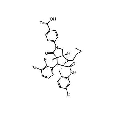 O=C(O)c1ccc(N2C[C@H]3[C@@H](C2=O)[C@H](c2cccc(Br)c2F)[C@@]2(Cc4ccc(Cl)cc4NC2=O)N3CC2CC2)cc1